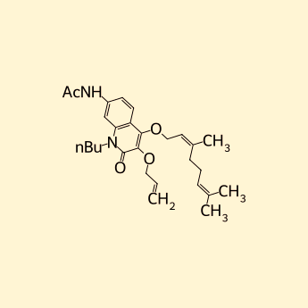 C=CCOc1c(OCC=C(C)CCC=C(C)C)c2ccc(NC(C)=O)cc2n(CCCC)c1=O